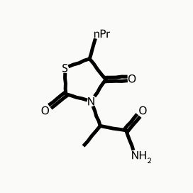 CCCC1SC(=O)N(C(C)C(N)=O)C1=O